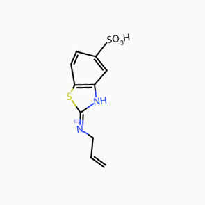 C=CC/N=c1\[nH]c2cc(S(=O)(=O)O)ccc2s1